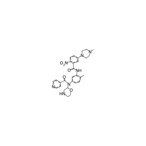 Cc1ccc(N(C(=O)c2ccncc2)C2CNCCO2)cc1NC(=O)c1cc(N2CCN(C)CC2)ccc1[N+](=O)[O-]